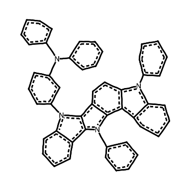 c1ccc(N(c2ccccc2)c2cccc(-n3c4ccccc4c4c3c3ccc5c(c6ccccc6n5-c5ccccc5)c3n4-c3ccccc3)c2)cc1